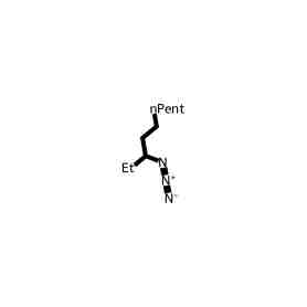 CCCCCCCC(CC)N=[N+]=[N-]